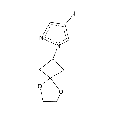 Ic1cnn(C2CC3(C2)OCCO3)c1